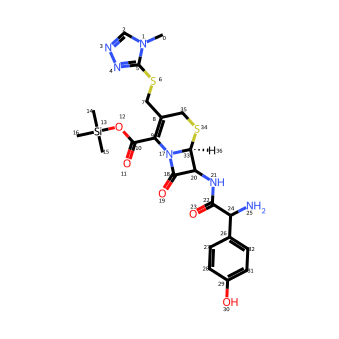 Cn1cnnc1SCC1=C(C(=O)O[Si](C)(C)C)N2C(=O)C(NC(=O)C(N)c3ccc(O)cc3)[C@@H]2SC1